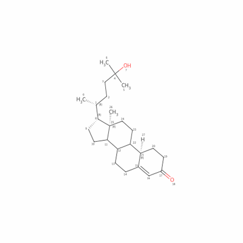 C[C@H](CCC(C)(C)O)[C@H]1CCC2C3CCC4=CC(=O)CC[C@@H]4C3CC[C@@]21C